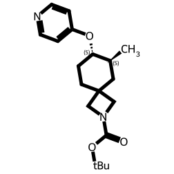 C[C@H]1CC2(CC[C@@H]1Oc1ccncc1)CN(C(=O)OC(C)(C)C)C2